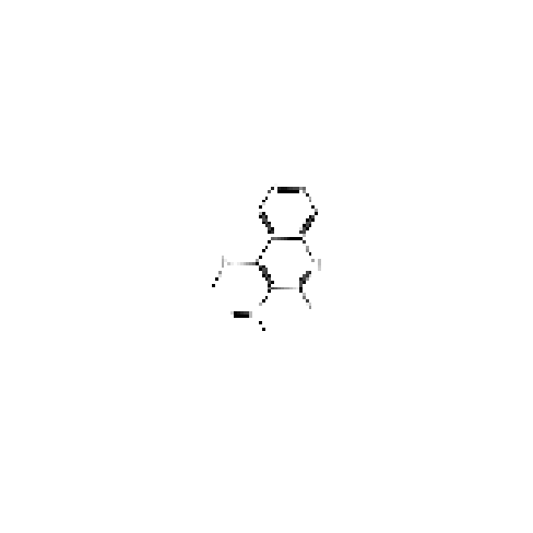 CNc1c([N+](=O)[O-])c(Cl)nc2ccccc12